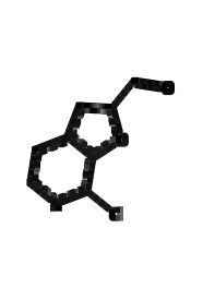 O=Cc1cc2ccnc(Cl)c2o1